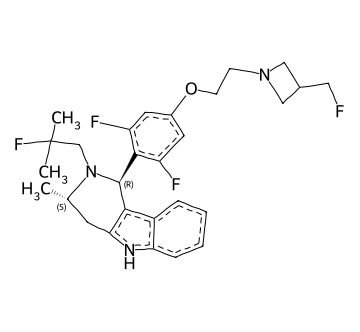 C[C@H]1Cc2[nH]c3ccccc3c2[C@H](c2c(F)cc(OCCN3CC(CF)C3)cc2F)N1CC(C)(C)F